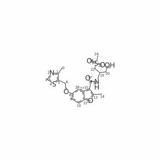 Cc1ncsc1COc1ccc2oc(C)c(C(=O)NC(CO)CS(C)(=O)=O)c2c1